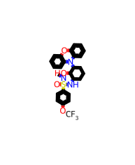 CN=S(=O)(NC1CCCC(N2c3ccccc3Oc3ccccc32)C1O)c1ccc(OC(F)(F)F)cc1